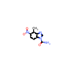 Cc1c([N+](=O)[O-])c[c]c2c1ncn2C(N)=O